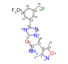 Cc1noc(C)c1C(=Cn1cnc(-c2cc(CF)cc(C(F)(F)F)c2)n1)C(N)=O